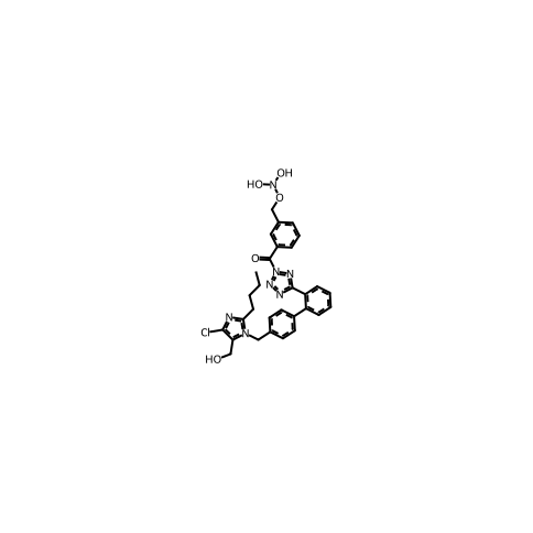 CCCCc1nc(Cl)c(CO)n1Cc1ccc(-c2ccccc2-c2nnn(C(=O)c3cccc(CON(O)O)c3)n2)cc1